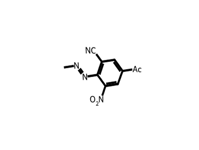 C/N=N/c1c(C#N)cc(C(C)=O)cc1[N+](=O)[O-]